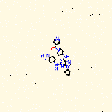 NC1CCC(Nc2nc(NC3CCN(C(=O)c4ccncc4)CC3)c3ncn(C4CCCC4)c3n2)CC1